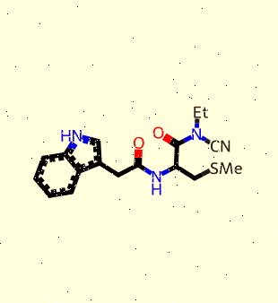 CCN(C#N)C(=O)C(CSC)NC(=O)Cc1c[nH]c2ccccc12